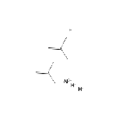 C=C(C)C.C=C(C)C.[Al+3].[H-].[H-].[H-]